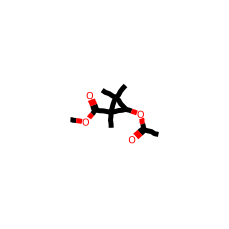 COC(=O)C1(C)C(OC(C)=O)C1(C)C